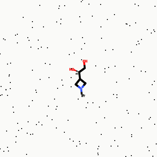 CC(C)N1CC([C@H](O)CO)C1